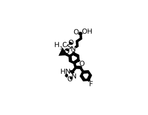 CS(=O)(=O)N(CCCC(=O)O)c1cc2oc(-c3ccc(F)cc3)c(C3=NOCN3)c2cc1C1CC1